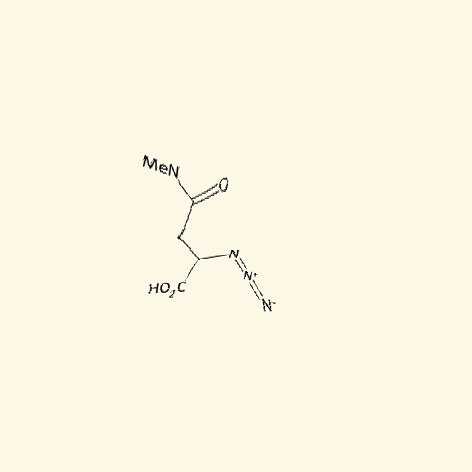 CNC(=O)CC(N=[N+]=[N-])C(=O)O